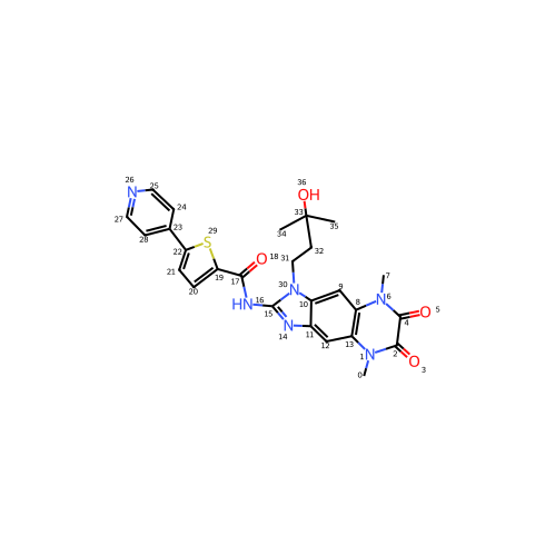 Cn1c(=O)c(=O)n(C)c2cc3c(cc21)nc(NC(=O)c1ccc(-c2ccncc2)s1)n3CCC(C)(C)O